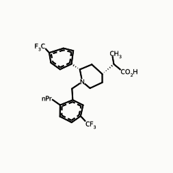 CCCc1ccc(C(F)(F)F)cc1CN1CC[C@@H](C(C)C(=O)O)C[C@H]1c1ccc(C(F)(F)F)cc1